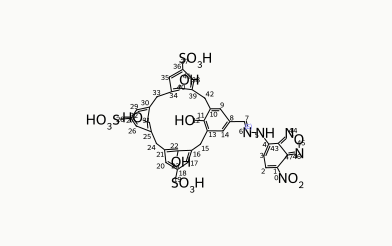 O=[N+]([O-])c1ccc(N/N=C/c2cc3c(O)c(c2)Cc2cc(S(=O)(=O)O)cc(c2O)Cc2cc(S(=O)(=O)O)cc(c2O)Cc2cc(S(=O)(=O)O)cc(c2O)C3)c2nonc12